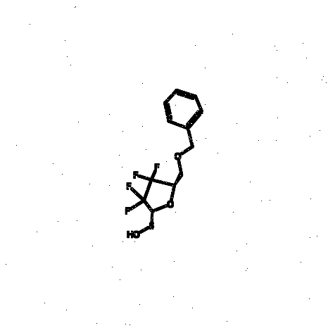 OSC1O[C@H](COCc2ccccc2)C(F)(F)C1(F)F